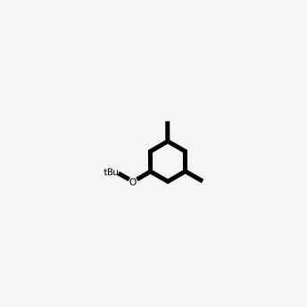 CC1CC(C)CC(OC(C)(C)C)C1